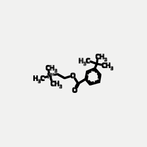 CC(C)(C)c1cccc(C(=O)OCC[N+](C)(C)C)c1